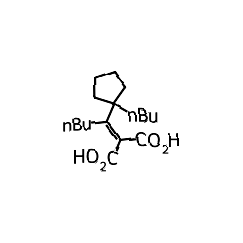 CCCCC(=C(C(=O)O)C(=O)O)C1(CCCC)CCCC1